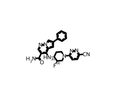 N#Cc1ccc(N2CC[C@@H](Nc3c(C(N)=O)cnn4cc(-c5ccccc5)cc34)[C@H](F)C2)nn1